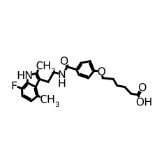 Cc1[nH]c2c(F)ccc(C)c2c1CCNC(=O)c1ccc(OCCCCCC(=O)O)cc1